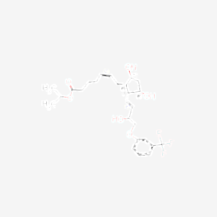 CC(C)OC(=O)CCC/C=C\C[C@@H]1[C@@H](/C=C/C(O)COc2cccc(C(F)(F)F)c2)[C@H](O)C[C@@H]1O